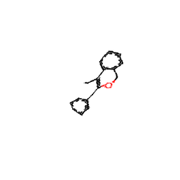 CC1=C(c2ccccc2)OCc2ccccc21